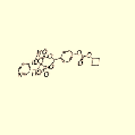 O=C(Oc1ccc(C2OP(=O)(O)C(O)(Cc3cccnc3)P(=O)(O)O2)cc1)OC1CCC1